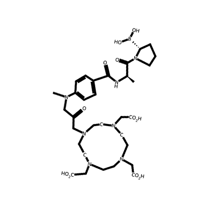 C[C@@H](NC(=O)c1ccc(N(C)CC(=O)CN2CCN(CC(=O)O)CCN(CC(=O)O)CCN(CC(=O)O)CC2)cc1)C(=O)N1CCC[C@H]1B(O)O